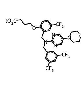 CCOC(=O)CCCOc1ccc(C(F)(F)F)cc1CN(Cc1cc(C(F)(F)F)cc(C(F)(F)F)c1)c1ncc(N2CCOCC2)cn1